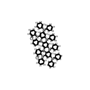 c1ccc(N(c2ccccc2)c2cc3c4c(c2)N2c5ccccc5Oc5cccc(c52)B4c2cc4c(cc2N3c2ccccc2)N(c2ccccc2)c2cc(N(c3ccccc3)c3ccccc3)cc3c2B4c2cccc4c2N3c2ccccc2O4)cc1